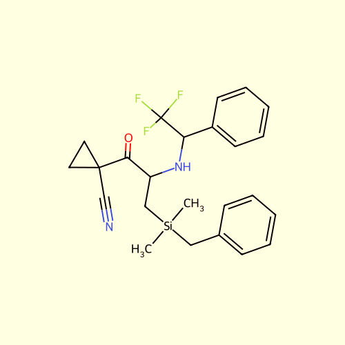 C[Si](C)(Cc1ccccc1)CC(NC(c1ccccc1)C(F)(F)F)C(=O)C1(C#N)CC1